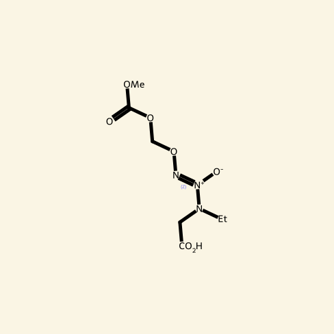 CCN(CC(=O)O)/[N+]([O-])=N/OCOC(=O)OC